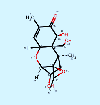 CC1=C[C@H]2O[C@@H]3[C@H](O)C[C@](C)([C@@]2(CO)[C@H](O)C1=O)[C@@]31OC1C